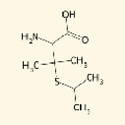 CC(C)SC(C)(C)C(N)C(=O)O